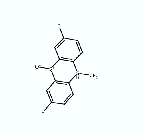 [O-][S+]1c2cc(F)ccc2[SH](C(F)(F)F)c2ccc(F)cc21